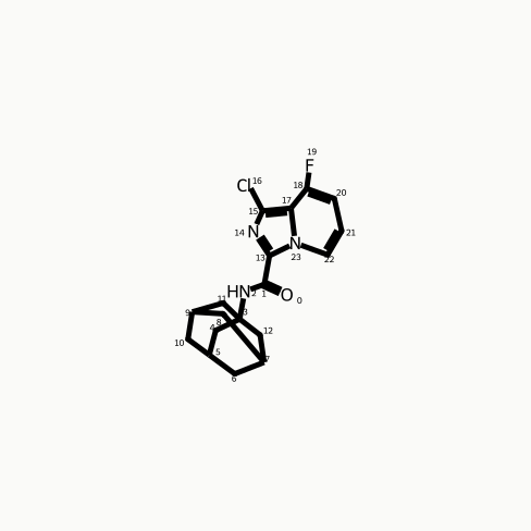 O=C(NC12CC3CC(CC(C3)C1)C2)c1nc(Cl)c2c(F)cccn12